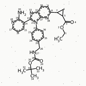 CCOC(=O)C1CC1c1ccc2nc(-c3cccnc3N)n(-c3ccc(CNC(=O)OC(C)(C)C)cc3)c2n1